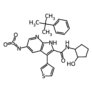 CC(C)(C)c1ccccc1.O=C(NC1CCCC1O)c1[nH]c2ncc(N=S(=O)=O)cc2c1-c1ccsc1